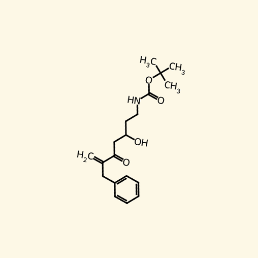 C=C(Cc1ccccc1)C(=O)CC(O)CCNC(=O)OC(C)(C)C